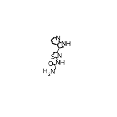 NCC(=O)Nc1nc(-c2c[nH]c3ncccc23)cs1